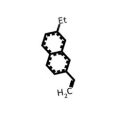 C=Cc1ccc2ccc(CC)cc2c1